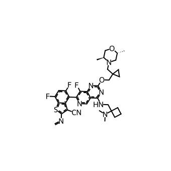 C=Nc1sc2c(F)cc(F)c(-c3ncc4c(NCC5(N(C)C)CCC5)nc(OCC5(CN6C[C@@H](C)OC[C@@H]6C)CC5)nc4c3F)c2c1C#N